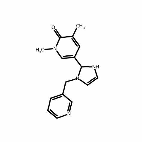 Cc1cc(C2NC=CN2Cc2cccnc2)cn(C)c1=O